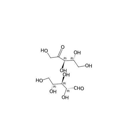 O=C(CO)[C@H](O)[C@H](O)CO.O=C[C@H](O)[C@H](O)[C@H](O)CO